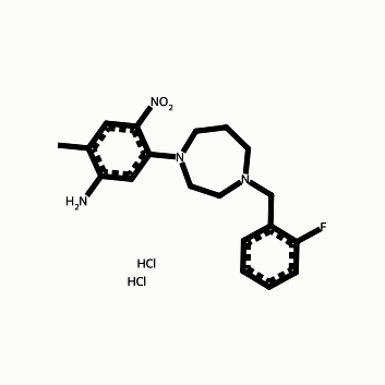 Cc1cc([N+](=O)[O-])c(N2CCCN(Cc3ccccc3F)CC2)cc1N.Cl.Cl